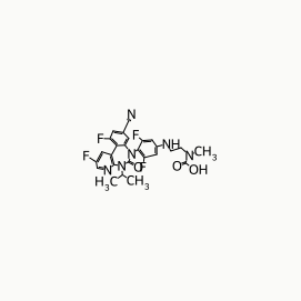 CC(C)N1C(=O)N(c2c(F)cc(NCCN(C)C(=O)O)cc2F)c2cc(C#N)cc(F)c2-c2cc(F)cnc21